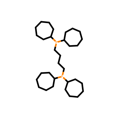 C1CCCC(P(CCCCP(C2CCCCCC2)C2CCCCCC2)C2CCCCCC2)CC1